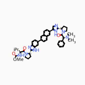 COC(=O)N[C@H](C(=O)N1CCC[C@H]1c1nc2ccc(-c3ccc4cc(-c5cnc([C@@H]6CCCN6C(=O)[C@@H](c6ccccc6)N(C)C)[nH]5)ccc4c3)cc2[nH]1)C(C)C